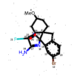 COC1CCC2(CC1)Cc1ccc(Br)cc1C21N=C(N)c2c(F)cncc21